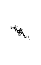 NCCCCOc1c(Br)cc(OCC=C(Br)Br)cc1Br